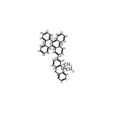 C[Si]1(C)c2ccccc2Cc2ccc(-c3ccc4c5ccccc5c5c6ccccc6c6ccccc6c5c4c3)cc21